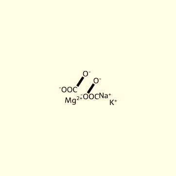 O=C([O-])[O-].O=C([O-])[O-].[K+].[Mg+2].[Na+]